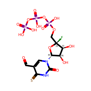 O=Cc1cn([C@@H]2O[C@](F)(COP(=O)(O)OP(=O)(O)OP(=O)(O)O)[C@@H](O)[C@H]2O)c(=O)[nH]c1=S